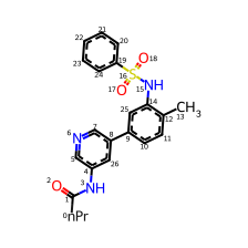 CCCC(=O)Nc1cncc(-c2ccc(C)c(NS(=O)(=O)c3ccccc3)c2)c1